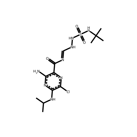 CC(C)Nc1nc(N)c(C(=O)N=CNNS(=O)(=O)NC(C)(C)C)nc1Cl